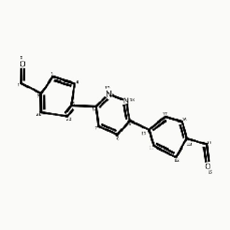 O=Cc1ccc(-c2ccc(-c3ccc(C=O)cc3)nn2)cc1